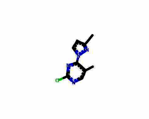 Cc1ccn(-c2nc(Cl)ncc2C)n1